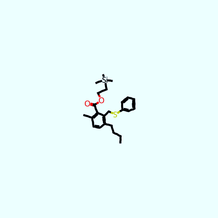 CCCCc1ccc(C)c(C(=O)OCC[Si](C)(C)C)c1CSc1ccccc1